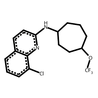 FC(F)(F)OC1CCCC(Nc2ccc3cccc(Cl)c3n2)CC1